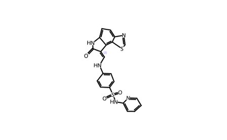 O=C1Nc2ccc3ncsc3c2/C1=C/Nc1ccc(S(=O)(=O)Nc2ccccn2)cc1